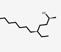 CCCCCCC[C@H](CC)CC[C@H](C)S